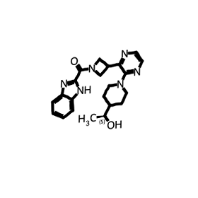 C[C@H](O)C1CCN(c2nccnc2C2CN(C(=O)c3nc4ccccc4[nH]3)C2)CC1